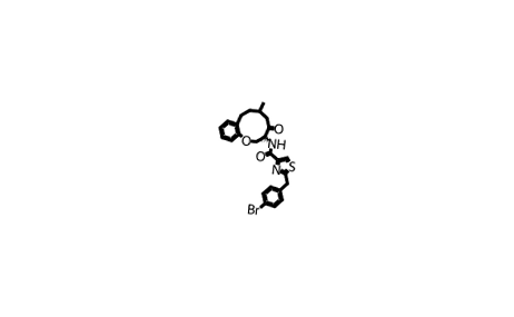 CC1CCc2ccccc2OC[C@H](NC(=O)c2csc(Cc3ccc(Br)cc3)n2)C(=O)C1